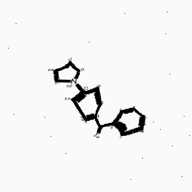 O=C(c1ccccc1)c1ccc(N2CCCC2)cc1